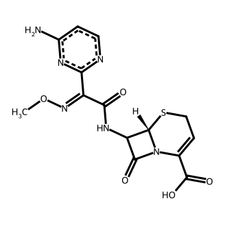 CON=C(C(=O)NC1C(=O)N2C(C(=O)O)=CCS[C@@H]12)c1nccc(N)n1